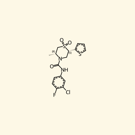 C[C@@H]1CS(=O)(=O)[C@H](c2cccs2)CN1C(=O)Nc1ccc(F)c(Cl)c1